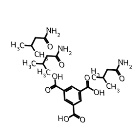 CC(C)CC(N)=O.CC(C)CC(N)=O.CC(C)CC(N)=O.O=C(O)c1cc(C(=O)O)cc(C(=O)O)c1